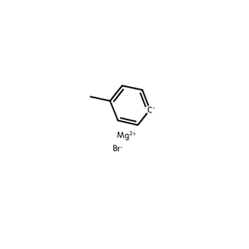 Cc1cc[c-]cc1.[Br-].[Mg+2]